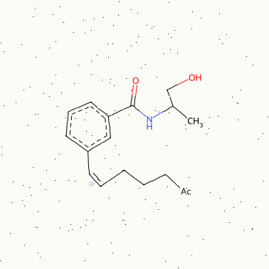 CC(=O)CCC/C=C\c1cccc(C(=O)NC(C)CO)c1